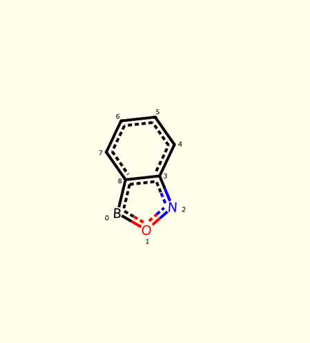 b1onc2ccccc12